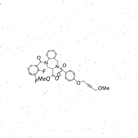 COCC#CCOc1ccc(S(=O)(=O)N2Cc3ccccc3N(C(=O)c3cccc(F)c3F)CC2C(=O)OC)cc1